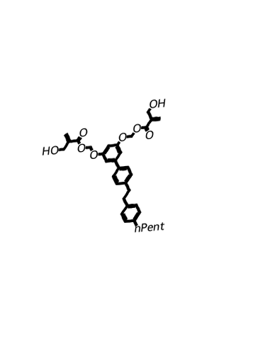 C=C(CO)C(=O)OCOc1cc(OCOC(=O)C(=C)CO)cc(-c2ccc(CCc3ccc(CCCCC)cc3)cc2)c1